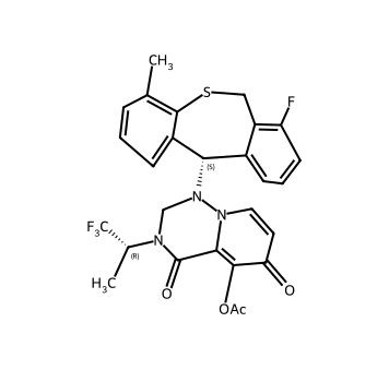 CC(=O)Oc1c2n(ccc1=O)N([C@H]1c3cccc(F)c3CSc3c(C)cccc31)CN([C@H](C)C(F)(F)F)C2=O